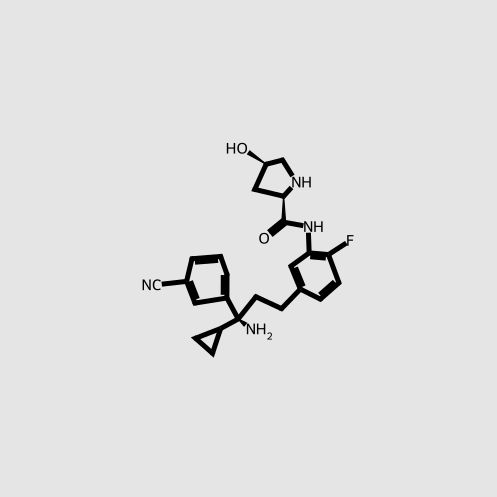 N#Cc1cccc([C@](N)(CCc2ccc(F)c(NC(=O)[C@H]3C[C@@H](O)CN3)c2)C2CC2)c1